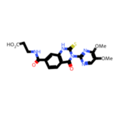 COc1cnc(-n2c(=S)[nH]c3cc(C(=O)NCCC(=O)O)ccc3c2=O)nc1OC